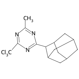 Cc1nc(C2C3CC4CC(C3)CC2C4)nc(C(Cl)(Cl)Cl)n1